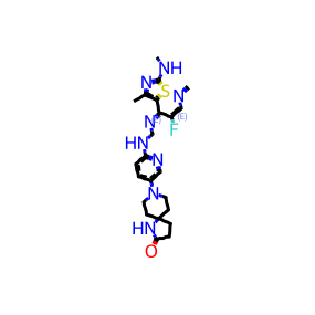 C=N/C=C(F)\C(=N/CNc1ccc(N2CCC3(CCC(=O)N3)CC2)cn1)c1sc(NC)nc1C